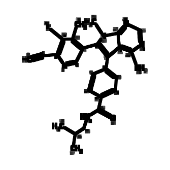 C#Cc1ncc(-c2c(-c3ccc(C(=O)NCC(C)C)cc3)c3c(N)ncnc3n2C)c(C)c1F